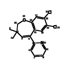 CC1(C)C=C(c2ccccn2)c2cc(Cl)c(Cl)cc2OC1